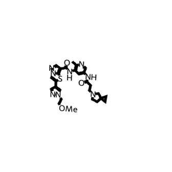 COCCn1cc(-c2cn3ncc(C(=O)Nc4cc(NC(=O)CCN5CCC6(CC6)C5)cnc4C)c3s2)cn1